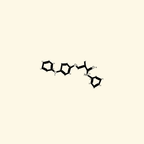 C/C(=C\Oc1ccc(Oc2ccccc2)cc1)C(=O)Nc1ccccc1